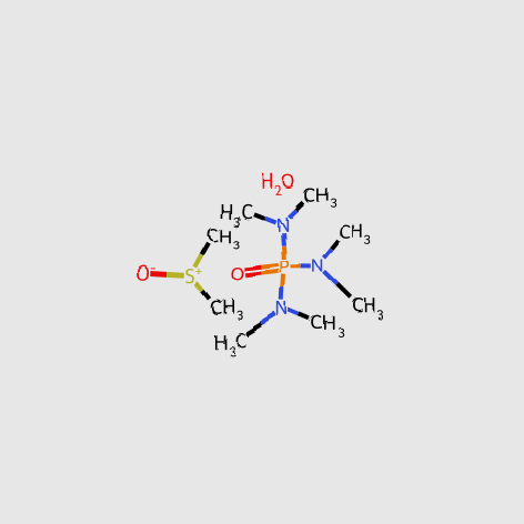 CN(C)P(=O)(N(C)C)N(C)C.C[S+](C)[O-].O